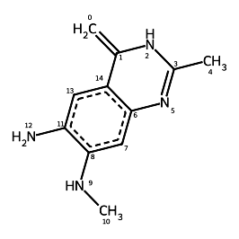 C=C1NC(C)=Nc2cc(NC)c(N)cc21